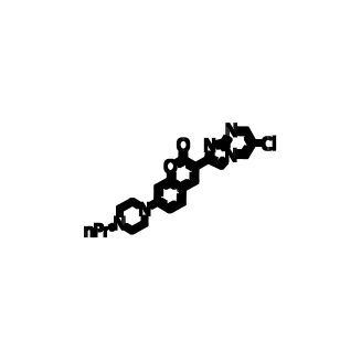 CCCN1CCN(c2ccc3cc(-c4cn5cc(Cl)cnc5n4)c(=O)oc3c2)CC1